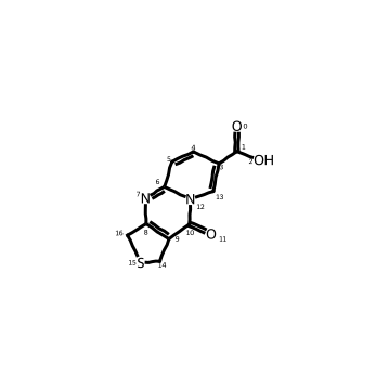 O=C(O)c1ccc2nc3c(c(=O)n2c1)CSC3